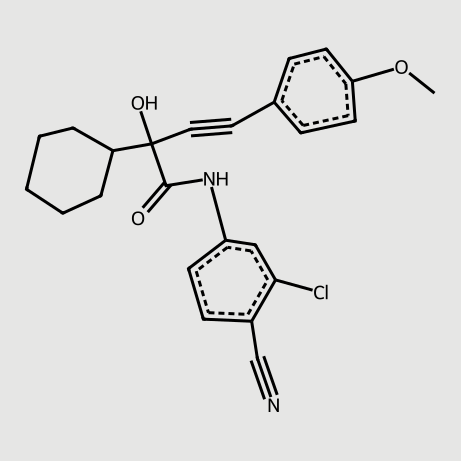 COc1ccc(C#CC(O)(C(=O)Nc2ccc(C#N)c(Cl)c2)C2CCCCC2)cc1